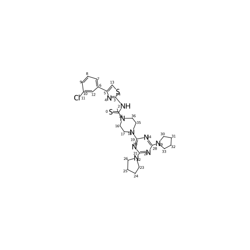 S=C(Nc1nc(-c2cccc(Cl)c2)cs1)N1CCN(c2nc(N3CCCC3)nc(N3CCCC3)n2)CC1